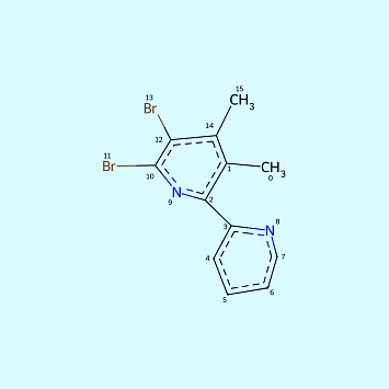 Cc1c(-c2ccccn2)nc(Br)c(Br)c1C